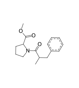 COC(=O)C1CCCN1C(=O)C(C)Cc1ccccc1